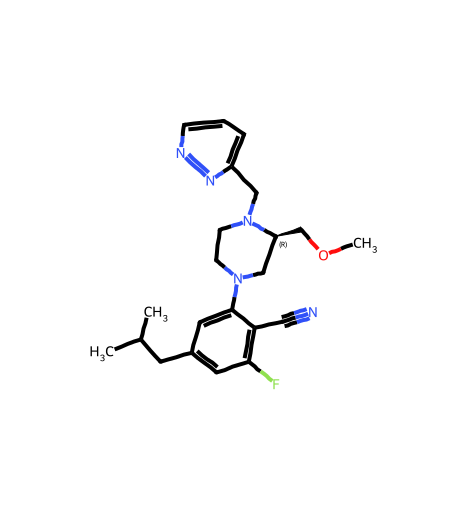 COC[C@H]1CN(c2cc(CC(C)C)cc(F)c2C#N)CCN1Cc1cccnn1